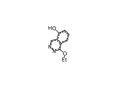 CCOc1nncc2c(O)cccc12